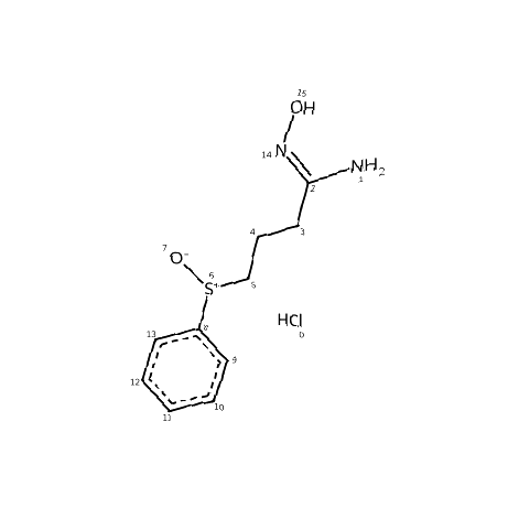 Cl.NC(CCC[S+]([O-])c1ccccc1)=NO